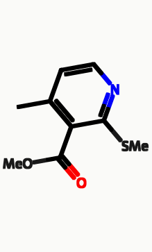 COC(=O)c1c(C)ccnc1SC